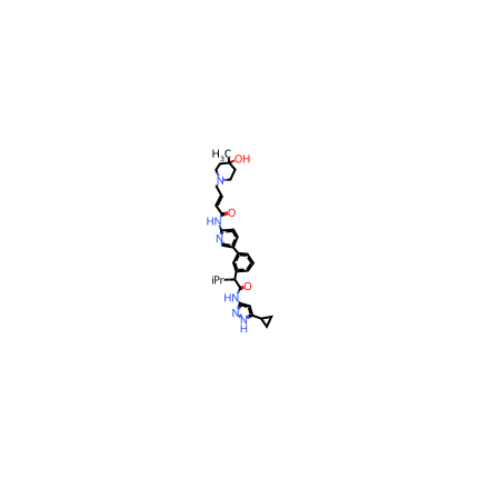 CC(C)C(C(=O)Nc1cc(C2CC2)[nH]n1)c1cccc(-c2ccc(NC(=O)/C=C/CN3CCC(C)(O)CC3)nc2)c1